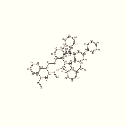 C=CC1=NC(C=C)C(CCc2ccc3c(oc4ccccc43)c2-c2n3c4c(cccc4[n+]2C)C(C)c2cc(-c4ccccc4)cc(C(C)C)c2-3)c2ccccc21